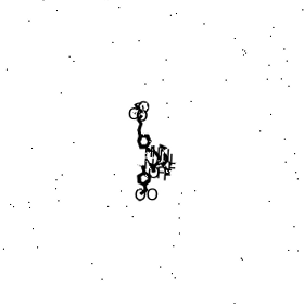 COC(=O)c1ccc([C@H](C)NC(=O)c2c(C(F)(F)F)nn3c2N(Cc2ccc(CCCOS(C)(=O)=O)cc2)CC3)cc1